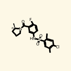 Cc1cc(S(=O)(=O)Nc2ccc(F)c(C(=O)N3CCC[C@H]3C)c2)c(C)cc1Cl